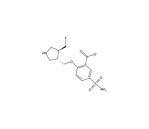 NS(=O)(=O)c1ccc(OC[C@@H]2CNC[C@H]2CF)c([N+](=O)[O-])c1